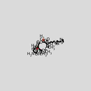 CC[C@H]1OC(=O)[C@](C)(F)C(=O)[C@@H](C)[C@@H](OC2O[C@H](C)CC(N)C2O)[C@](C)(OC)C[C@@H](C)CN(C)[C@H](C)[C@@H]2[C@@H]1OC(=O)N2CCCCn1cc(-c2nccs2)nn1